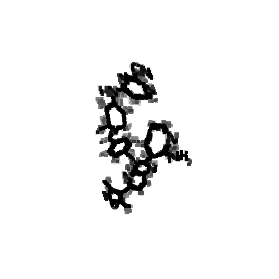 Cc1noc(C)c1-c1ccc2nc(-c3cccnc3N)n(-c3ccc(CN4CCC(Nc5ccnc(C#N)n5)CC4I)cc3)c2n1